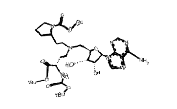 CC(C)(C)OC(=O)N[C@@H](CCN(CCC1CCCN1C(=O)OC(C)(C)C)C[C@H]1O[C@@H](n2cnc3c(N)ncnc32)[C@H](O)[C@@H]1O)C(=O)OC(C)(C)C